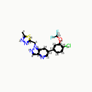 Cc1nnc(Cn2ncc3ncc(-c4ccc(Cl)c(OC(F)F)c4)cc32)s1